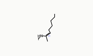 CCCCC/C=C(/C)NI